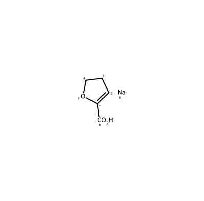 O=C(O)C1=CCCO1.[Na]